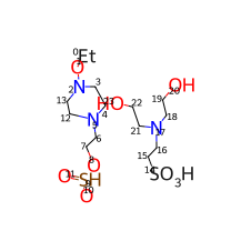 CCON1CCN(CCO[SH](=O)=O)CC1.O=S(=O)(O)CCN(CCO)CCO